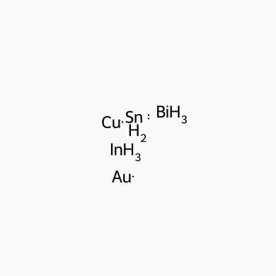 [Au].[BiH3].[Cu].[InH3].[SnH2]